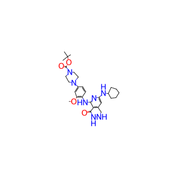 COc1cc(N2CCN(C(=O)OC(C)(C)C)CC2)ccc1Nc1nc(NC2CCCCC2)cc2c1C(=O)NNC2